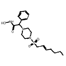 CCCCC=CCS(=O)(=O)N1CCN(C(C(=O)NO)c2ccccc2)CC1